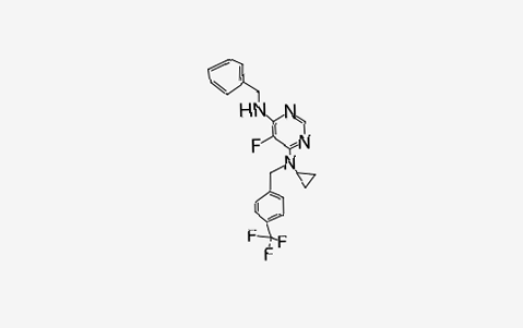 Fc1c(NCc2ccccc2)ncnc1N(Cc1ccc(C(F)(F)F)cc1)C1CC1